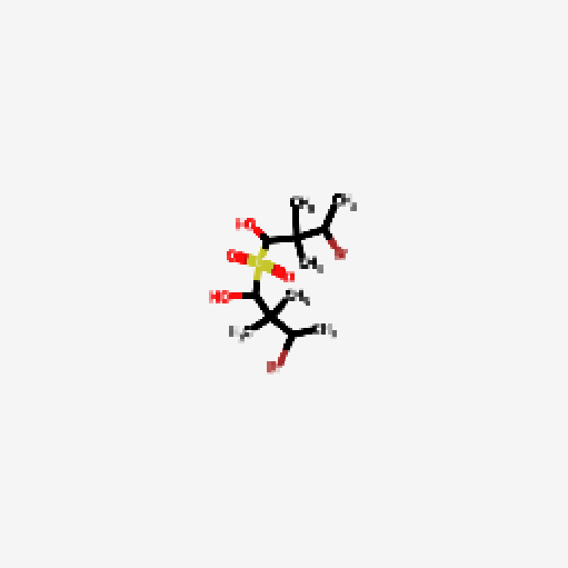 CC(Br)C(C)(C)C(O)S(=O)(=O)C(O)C(C)(C)C(C)Br